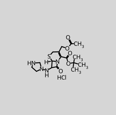 CC(=O)OCC1=C(C(=O)OC(C)(C)C)N2C(=O)C(NN3CCNC3)[C@@H]2SC1.Cl